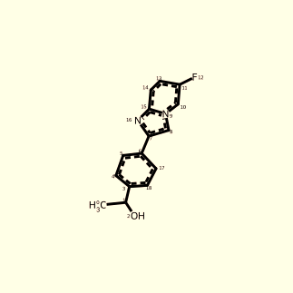 CC(O)c1ccc(-c2cn3cc(F)ccc3n2)cc1